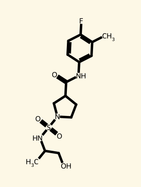 Cc1cc(NC(=O)C2CCN(S(=O)(=O)NC(C)CO)C2)ccc1F